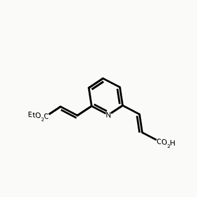 CCOC(=O)/C=C/c1cccc(/C=C/C(=O)O)n1